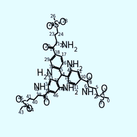 CS(=O)(=O)CC[C@H](N)C(=O)c1ccc(C(c2ccc(C(=O)[C@@H](N)CCS(C)(=O)=O)cc2N)c2ccc(C(=O)[C@@H](N)CCS(C)(=O)=O)cc2N)c(N)c1